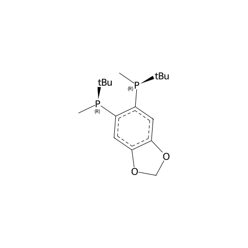 C[P@](c1cc2c(cc1[P@@](C)C(C)(C)C)OCO2)C(C)(C)C